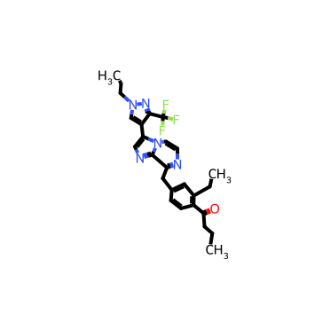 CCCC(=O)c1ccc(Cc2nccn3c(-c4cn(CCC)nc4C(F)(F)F)cnc23)cc1CC